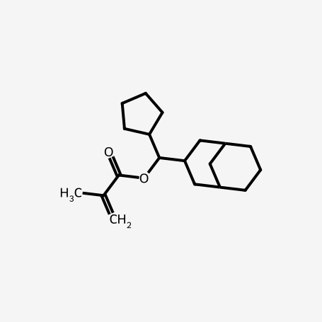 C=C(C)C(=O)OC(C1CCCC1)C1CC2CCCC(C2)C1